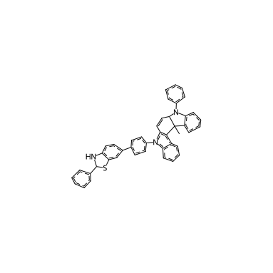 CC12c3ccccc3N(c3ccccc3)C1C=Cc1c2c2ccccc2n1-c1ccc(-c2ccc3c(c2)SC(c2ccccc2)N3)cc1